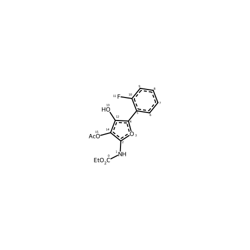 CCOC(=O)Nc1oc(-c2ccccc2F)c(O)c1OC(C)=O